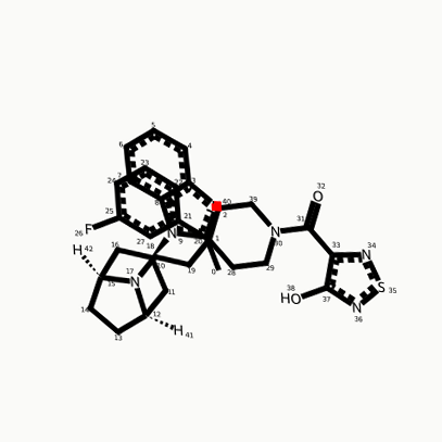 Cc1nc2ccccc2n1[C@H]1C[C@H]2CC[C@@H](C1)N2CCC1(c2cccc(F)c2)CCN(C(=O)c2nsnc2O)CC1